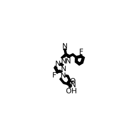 N#Cc1cn(-c2ncc(F)c(N3CCc4c(O)noc4C3)n2)nc1Cc1ccccc1F